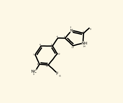 Cc1nc(Cc2ccc(C#N)c(F)c2)c[nH]1